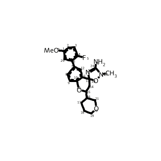 COc1ccc(F)c(-c2ccc3c(c2)C2(CC(C4CCCOC4)O3)N=C(N)N(C)O2)c1